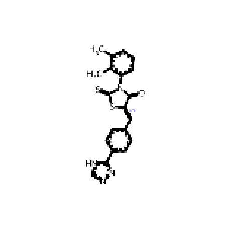 Cc1cccc(N2C(=O)/C(=C/c3ccc(-c4nnc[nH]4)cc3)SC2=S)c1C